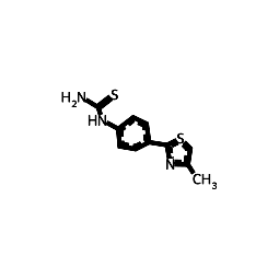 Cc1csc(-c2ccc(NC(N)=S)cc2)n1